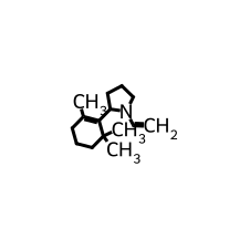 C=CN1CCCC1C1=C(C)CCCC1(C)C